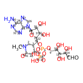 Cn1cc(C(OP(=O)(OC[C@@H](O)[C@@H](O)[C@@H](O)C=O)OP(=O)(O)O)[C@H]2O[C@@H](n3cnc4c(N)ncnc43)[C@H](O)[C@@H]2O)ccc1=O